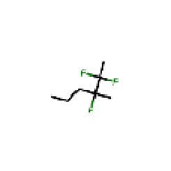 CCCC(C)(F)C(C)(F)F